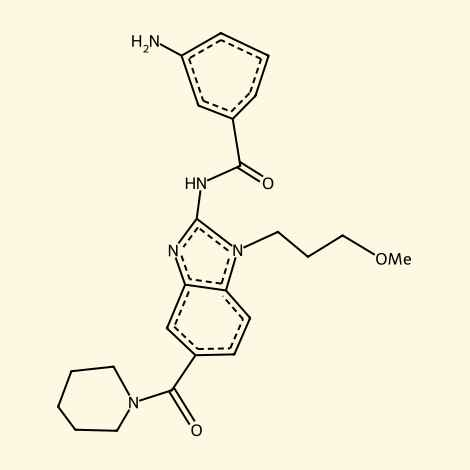 COCCCn1c(NC(=O)c2cccc(N)c2)nc2cc(C(=O)N3CCCCC3)ccc21